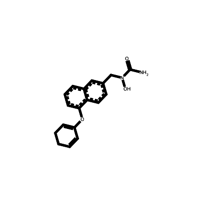 NC(=O)N(O)Cc1ccc2c(OC3=CCCC=C3)cccc2c1